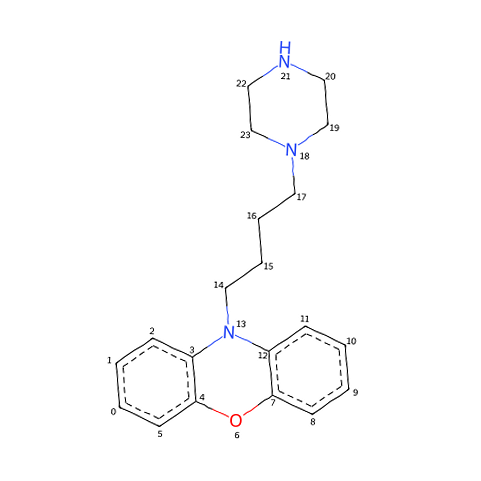 c1ccc2c(c1)Oc1ccccc1N2CCCCN1CCNCC1